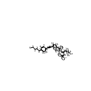 CCCCCc1ccc(C#Cc2ccc(C(=O)N[C@H](CC(=O)[O-])C[N+](C)(C)C)o2)cc1